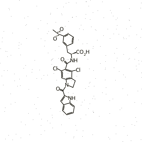 CS(=O)(=O)c1cccc(C[C@H](NC(=O)c2c(Cl)cc3c(c2Cl)CCN3C(=O)c2cc3ccccc3[nH]2)C(=O)O)c1